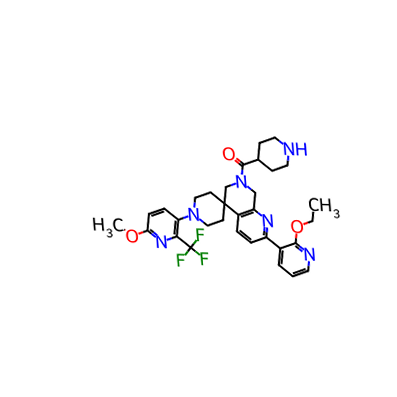 CCOc1ncccc1-c1ccc2c(n1)CN(C(=O)C1CCNCC1)CC21CCN(c2ccc(OC)nc2C(F)(F)F)CC1